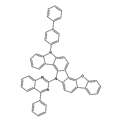 c1ccc(-c2ccc(-n3c4ccccc4c4c3ccc3c5c6oc7ccccc7c6ccc5n(-c5nc(-c6ccccc6)c6ccccc6n5)c34)cc2)cc1